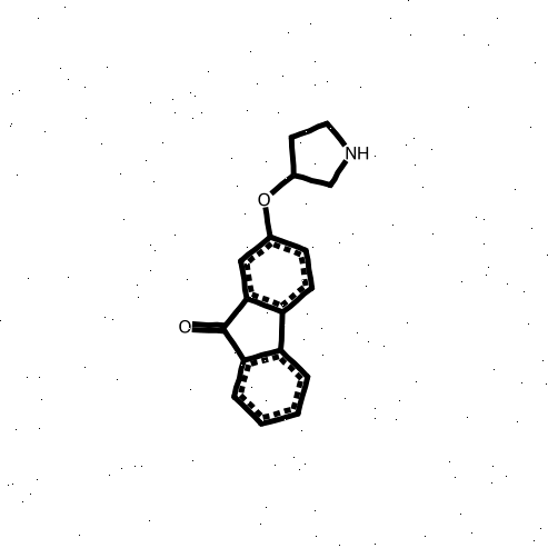 O=C1c2ccccc2-c2ccc(OC3CCNC3)cc21